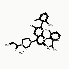 C=CC(=O)N1CCN(c2nc(=O)n(-c3c(C)ccnc3C(C)C)c3nc(-c4c(N)cccc4F)c(Cl)cc23)C[C@@H]1C